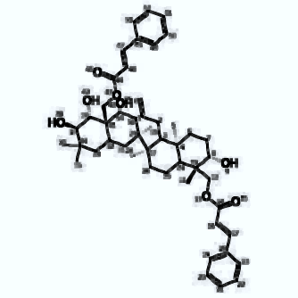 C=CCC1[C@@]2(C)CC[C@H](O)[C@](C)(COC(=O)/C=C/c3ccccc3)C2CC[C@@]1(C)[C@@]1(C)CC2CC(C)(C)[C@@H](O)[C@H](O)[C@]2(COC(=O)/C=C/c2ccccc2)[C@H](O)C1